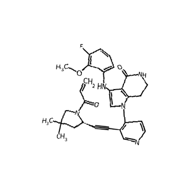 C=CC(=O)N1CC(C)(C)C[C@@H]1C#Cc1cnccc1-n1cc(Nc2cccc(F)c2OC)c2c1CCNC2=O